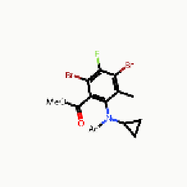 COC(=O)c1c(Br)c(F)c(Br)c(C)c1N(C(C)=O)C1CC1